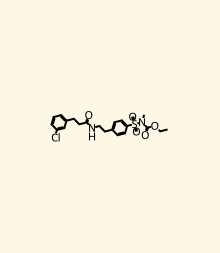 CCOC(=O)N(C)S(=O)(=O)c1ccc(CCNC(=O)CCc2cccc(Cl)c2)cc1